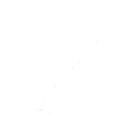 CCCCCCCCCCCCCCCCCC1OC(C[N+]2(C)CCOCC2)CS1.[Br-]